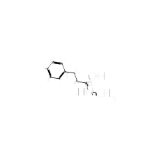 CN[C@H](O)CCc1ccccc1